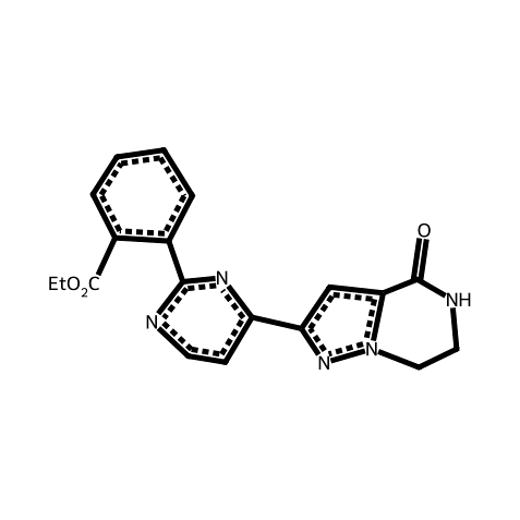 CCOC(=O)c1ccccc1-c1nccc(-c2cc3n(n2)CCNC3=O)n1